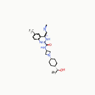 C=N/C=C(/NCC(=O)NC1CN([C@H]2CC[C@@H](C(O)C(C)C)CC2)C1)c1cc(C(F)(F)F)ccc1N